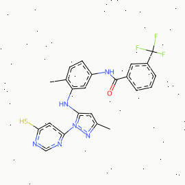 Cc1cc(Nc2cc(NC(=O)c3cccc(C(F)(F)F)c3)ccc2C)n(-c2cc(S)ncn2)n1